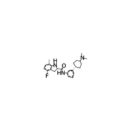 Cc1ccc(F)c2c1NC(C(=O)Nc1cccc([C@H]3CC[C@H](N(C)C)CC3)c1)C2